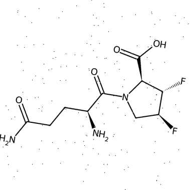 NC(=O)CC[C@H](N)C(=O)N1C[C@H](F)[C@@H](F)[C@@H]1C(=O)O